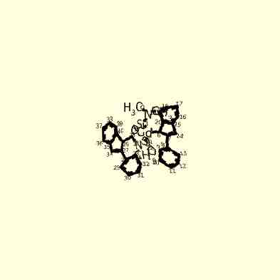 CN(C)[Si](=O)[Gd]([CH]1C(c2ccccc2)=Cc2ccccc21)[Si](=O)N(C)CC1C(c2ccccc2)=Cc2ccccc21